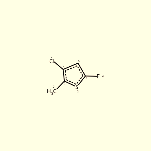 Cc1sc(F)cc1Cl